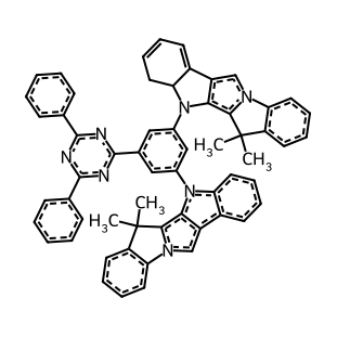 CC1(C)c2ccccc2-n2cc3c(c21)N(c1cc(-c2nc(-c4ccccc4)nc(-c4ccccc4)n2)cc(-n2c4ccccc4c4cn5c(c42)C(C)(C)c2ccccc2-5)c1)C1CC=CC=C31